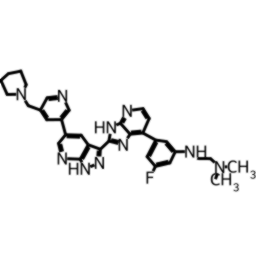 CN(C)CCNc1cc(F)cc(-c2ccnc3[nH]c(-c4n[nH]c5ncc(-c6cncc(CN7CCCCC7)c6)cc45)nc23)c1